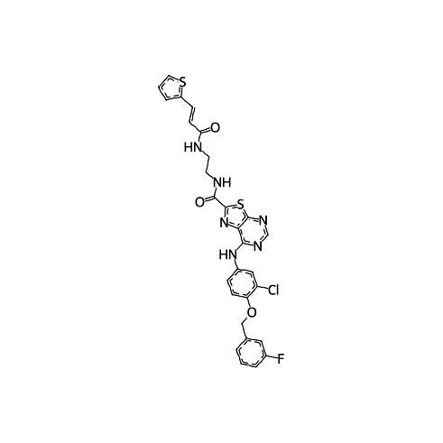 O=C(C=Cc1cccs1)NCCNC(=O)c1nc2c(Nc3ccc(OCc4cccc(F)c4)c(Cl)c3)ncnc2s1